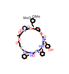 COc1ccc(CC[C@H]2OC(=O)[C@@H]3CCCCN3C(=O)C(=O)C(C)(C)COC(=O)/C=C/CCN(C)C(=O)[C@@H](Cc3ccccc3)NC(=O)CN(C)C(=O)[C@@H](Cc3ccccc3)NC(=O)[C@H](Cc3ccc(O)cc3)N(C)C(=O)COc3cccc2c3F)cc1OC